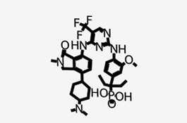 CCC(CC)(c1ccc(Nc2ncc(C(F)(F)F)c(Nc3ccc(C4CCC(N(C)C)CC4)c4c3C(=O)N(C)C4)n2)c(OC)c1)P(=O)(O)O